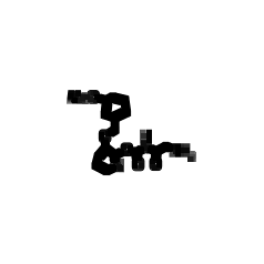 COc1cccc(COc2cccnc2OC(=O)NC(=O)CN)c1